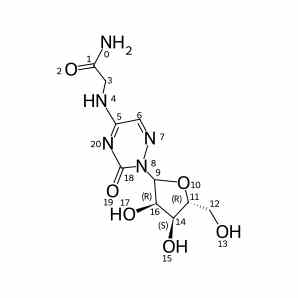 NC(=O)CNc1cnn(C2O[C@H](CO)[C@@H](O)[C@H]2O)c(=O)n1